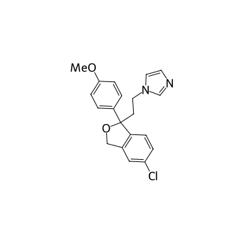 COc1ccc(C2(CCn3ccnc3)OCc3cc(Cl)ccc32)cc1